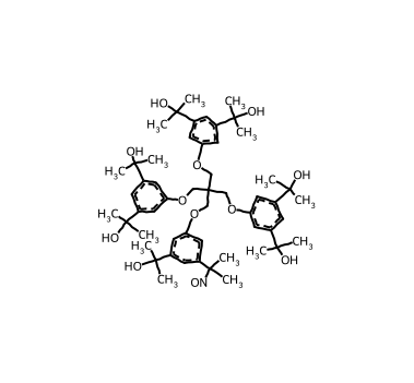 CC(C)(O)c1cc(OCC(COc2cc(C(C)(C)O)cc(C(C)(C)O)c2)(COc2cc(C(C)(C)O)cc(C(C)(C)O)c2)COc2cc(C(C)(C)O)cc(C(C)(C)N=O)c2)cc(C(C)(C)O)c1